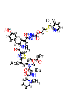 CCCC(=O)OCN(C(=O)[C@@H](NC(=O)[C@H]1CCCCN1C)C(C)CC)[C@H](C[C@@H](OC(C)=O)c1nc(C(=O)N[C@@H](Cc2ccc(O)cc2)CC(C)C(=O)NNC(=O)OCCSSc2ncccc2[N+](=O)[O-])cs1)C(C)C